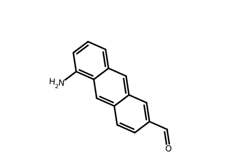 Nc1cccc2cc3cc(C=O)ccc3cc12